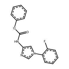 O=C(Nc1cn(-c2ccccc2F)cn1)Oc1ccccc1